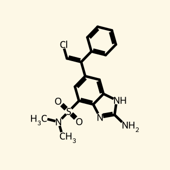 CN(C)S(=O)(=O)c1cc(C(=CCl)c2ccccc2)cc2[nH]c(N)nc12